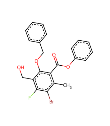 Cc1c(Br)c(F)c(CO)c(OCc2ccccc2)c1C(=O)Oc1ccccc1